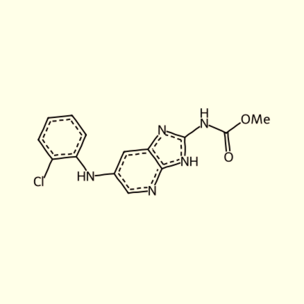 COC(=O)Nc1nc2cc(Nc3ccccc3Cl)cnc2[nH]1